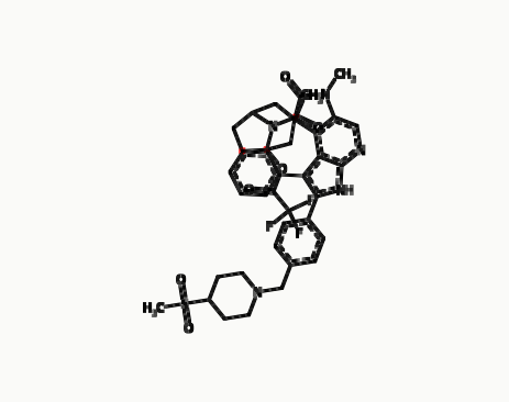 CC(=O)N1C2CCC1(OC(=O)C(F)(F)F)CC1(C2)C(=O)N(C)c2cnc3[nH]c(-c4ccc(CN5CCC(S(C)(=O)=O)CC5)cc4)c(-c4ccccc4)c3c21